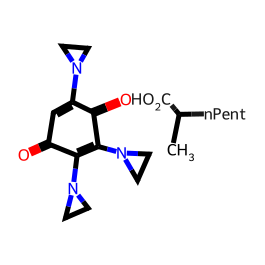 CCCCCC(C)C(=O)O.O=C1C=C(N2CC2)C(=O)C(N2CC2)=C1N1CC1